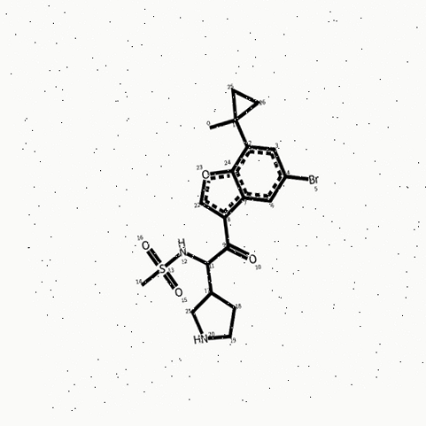 CC1(c2cc(Br)cc3c(C(=O)C(NS(C)(=O)=O)C4CCNC4)coc23)CC1